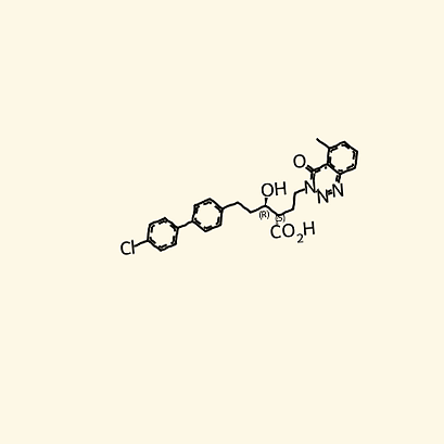 Cc1cccc2nnn(CC[C@H](C(=O)O)[C@H](O)CCc3ccc(-c4ccc(Cl)cc4)cc3)c(=O)c12